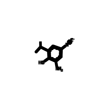 [C-]#[N+]c1cc(N)c(O)c(C(C)C)c1